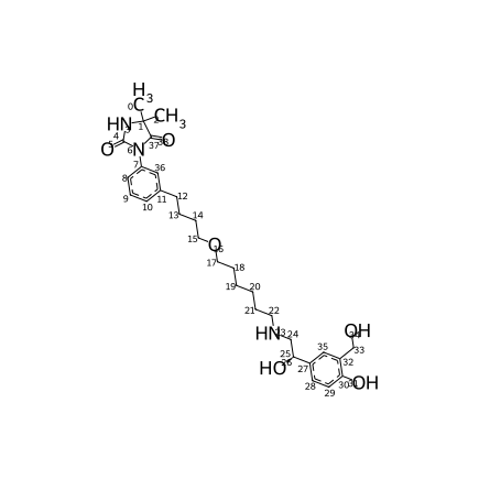 CC1(C)NC(=O)N(c2cccc(CCCCOCCCCCCNC[C@H](O)c3ccc(O)c(CO)c3)c2)C1=O